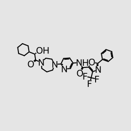 O=C(Nc1ccc(N2CCCN(C(=O)[C@H](O)C3CCCCC3)CC2)nc1)c1oc(-c2ccccc2)nc1C(F)(F)F